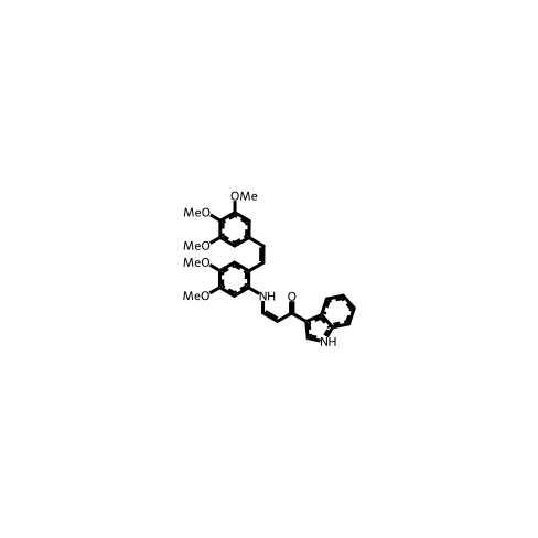 COc1cc(/C=C\c2cc(OC)c(OC)c(OC)c2)c(N/C=C\C(=O)c2c[nH]c3ccccc23)cc1OC